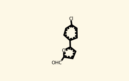 O=Cc1ccc(-c2ccc(Cl)cc2)o1